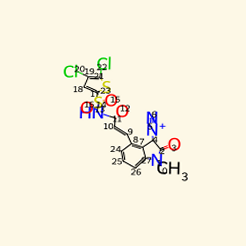 CN1C(=O)C([N+]#N)c2c(/C=C/C(=O)NS(=O)(=O)c3cc(Cl)c(Cl)s3)cccc21